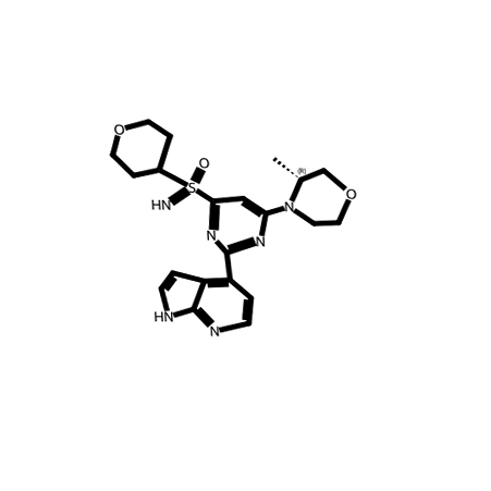 C[C@@H]1COCCN1c1cc(S(=N)(=O)C2CCOCC2)nc(-c2ccnc3[nH]ccc23)n1